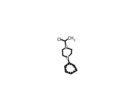 CC(Cl)N1CCN(c2ccccc2)CC1